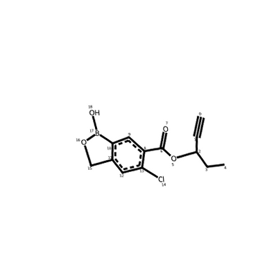 C#CC(CC)OC(=O)c1cc2c(cc1Cl)COB2O